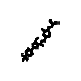 CCc1sc(-c2ccc(C(F)(F)F)cc2)nc1C(C)CSc1ccc(OCC(=O)O)c(C)c1